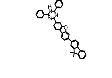 CC1(C)c2ccccc2-c2ccc(-c3ccc4c(c3)oc3cc(C5=NC(c6ccccc6)NC(c6ccccc6)=N5)ccc34)cc21